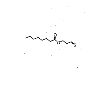 CCCCCCCC(=O)OCCC=S